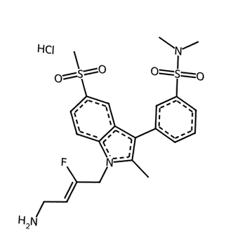 Cc1c(-c2cccc(S(=O)(=O)N(C)C)c2)c2cc(S(C)(=O)=O)ccc2n1CC(F)=CCN.Cl